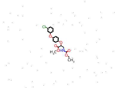 CCOC(=O)NCC(Oc1ccc(Oc2cccc(Cl)c2)cc1)C(=O)OC